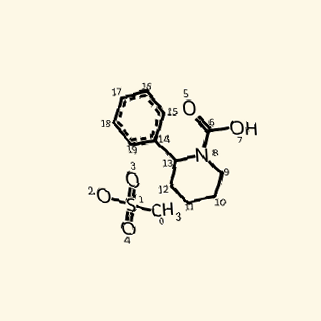 CS([O])(=O)=O.O=C(O)N1CCCCC1c1ccccc1